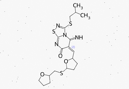 CC(C)CSC1=NSC2=NC(=O)/C(=C\C3CCC(SCC4CCCO4)O3)C(=N)N12